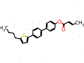 CC=CC(=O)Oc1ccc(-c2ccc(-c3ccc(CCCC)s3)cc2)cc1